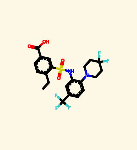 CCc1ccc(C(=O)O)cc1S(=O)(=O)Nc1cc(C(F)(F)F)ccc1N1CCC(F)(F)CC1